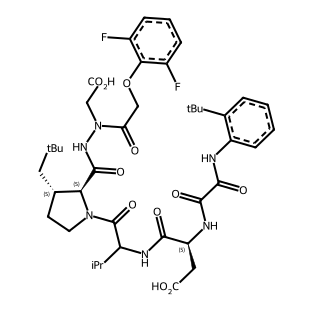 CC(C)C(NC(=O)[C@H](CC(=O)O)NC(=O)C(=O)Nc1ccccc1C(C)(C)C)C(=O)N1CC[C@H](CC(C)(C)C)[C@H]1C(=O)NN(CC(=O)O)C(=O)COc1c(F)cccc1F